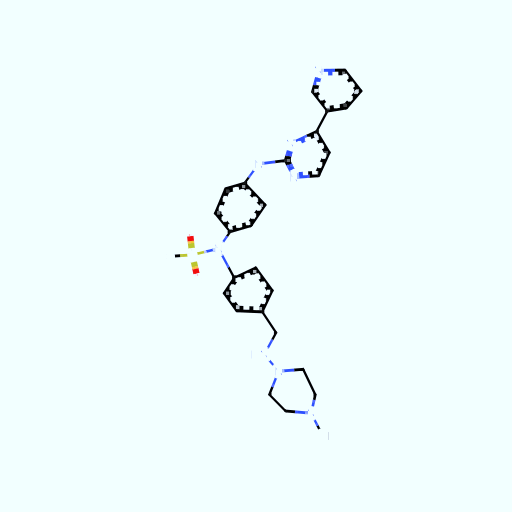 CN1CCN(NCc2ccc(N(c3ccc(Nc4nccc(-c5cccnc5)n4)cc3)S(C)(=O)=O)cc2)CC1